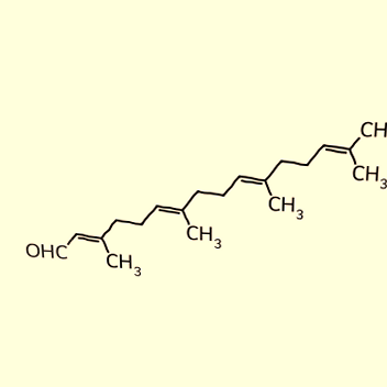 CC(C)=CCC/C(C)=C/CC/C(C)=C/CC/C(C)=C/C=O